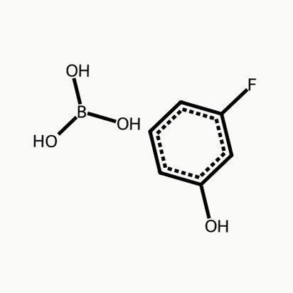 OB(O)O.Oc1cccc(F)c1